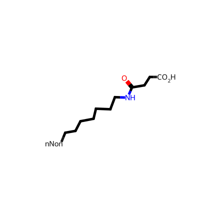 CCCCCCCCCCCCCCCCNC(=O)CCC(=O)O